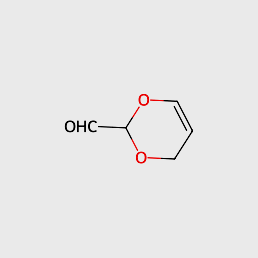 O=CC1OC=CCO1